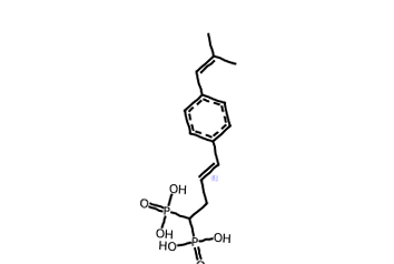 CC(C)=Cc1ccc(/C=C/CC(P(=O)(O)O)P(=O)(O)O)cc1